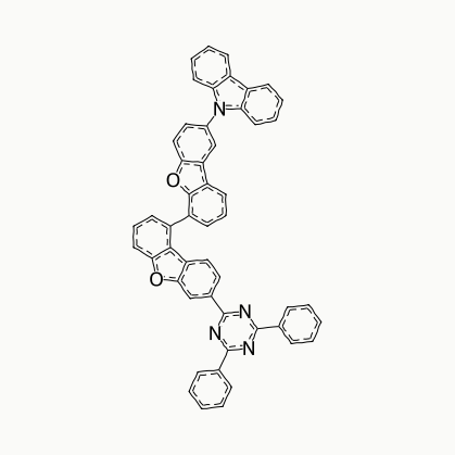 c1ccc(-c2nc(-c3ccccc3)nc(-c3ccc4c(c3)oc3cccc(-c5cccc6c5oc5ccc(-n7c8ccccc8c8ccccc87)cc56)c34)n2)cc1